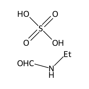 CCNC=O.O=S(=O)(O)O